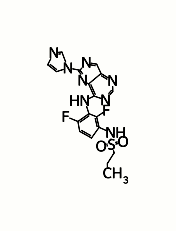 CCCS(=O)(=O)Nc1ccc(F)c(Nc2ncnc3cnc(-n4ccnc4)nc23)c1F